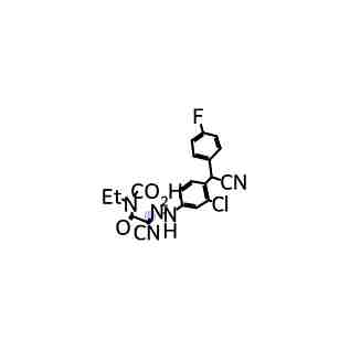 CCN(C(=O)O)C(=O)/C(C#N)=N/Nc1ccc(C(C#N)c2ccc(F)cc2)c(Cl)c1